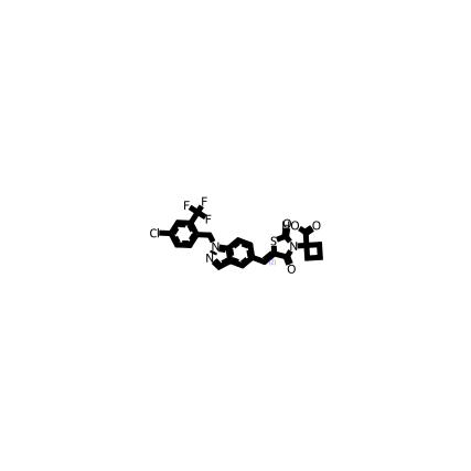 O=C1S/C(=C\c2ccc3c(cnn3Cc3ccc(Cl)cc3C(F)(F)F)c2)C(=O)N1C1(C(=O)O)CCC1